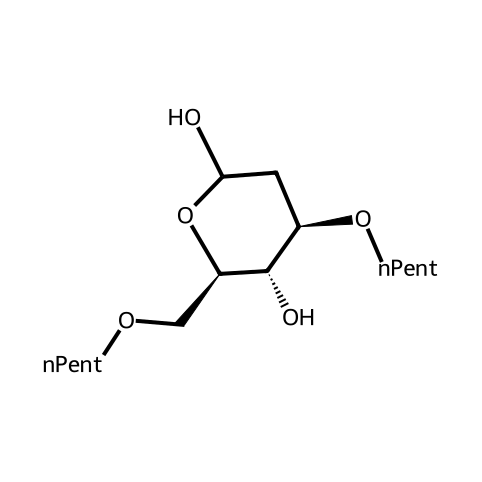 CCCCCOC[C@H]1OC(O)C[C@@H](OCCCCC)[C@@H]1O